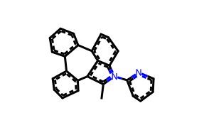 Cc1c2c3c(cccc3n1-c1ccccn1)-c1ccccc1-c1ccccc1-2